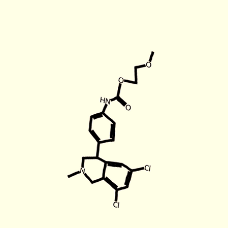 COCCOC(=O)Nc1ccc(C2CN(C)Cc3c(Cl)cc(Cl)cc32)cc1